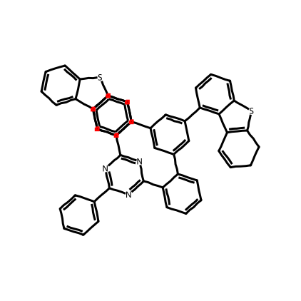 C1=Cc2c(sc3cccc(-c4cc(-c5ccc6c(c5)sc5ccccc56)cc(-c5ccccc5-c5nc(-c6ccccc6)nc(-c6ccccc6)n5)c4)c23)CC1